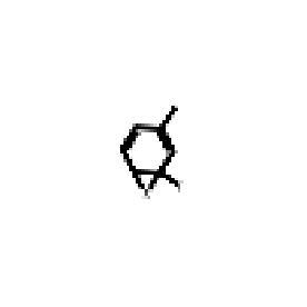 CC1=CC2(F)SC2C=C1